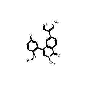 CCCOc1ccc(S)cc1-c1cn(C)c(=O)c2ccc(/C(C=N)=C/NC)cc12